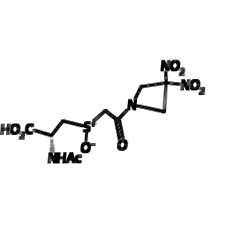 CC(=O)N[C@@H](C[S+]([O-])CC(=O)N1CC([N+](=O)[O-])([N+](=O)[O-])C1)C(=O)O